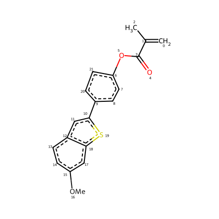 C=C(C)C(=O)Oc1ccc(-c2cc3ccc(OC)cc3s2)cc1